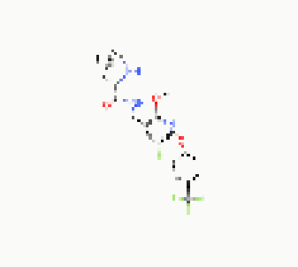 COc1nc(OC2CCC(C(F)(F)F)CC2)c(F)cc1CNC(=O)C1C[C@H]2CC2N1